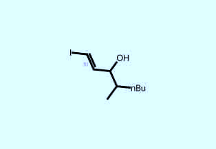 CCCCC(C)C(O)/C=C/I